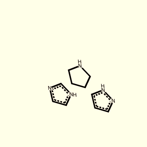 C1CCNC1.c1c[nH]cn1.c1cn[nH]c1